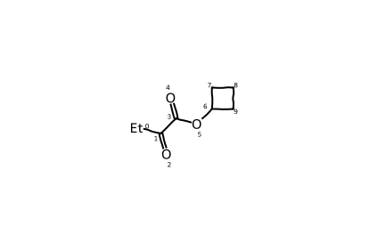 CCC(=O)C(=O)OC1CCC1